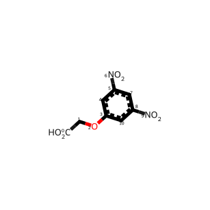 O=C(O)COc1cc([N+](=O)[O-])cc([N+](=O)[O-])c1